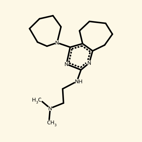 CN(C)CCNc1nc2c(c(N3CCCCCC3)n1)CCCCC2